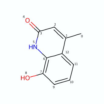 Cc1cc(=O)[nH]c2c(O)cccc12